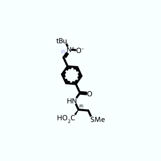 CSC[C@H](NC(=O)c1ccc(/C=[N+](\[O-])C(C)(C)C)cc1)C(=O)O